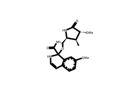 COc1ccc2c(c1)C(OC[C@H]1NC(=O)[C@H](OC)[C@H]1C)(C(N)=O)NC=C2